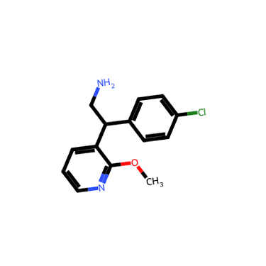 COc1ncccc1C(CN)c1ccc(Cl)cc1